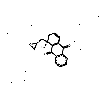 NC1(CC2CO2)CC=CC2=C1C(=O)c1ccccc1C2=O